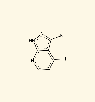 Brc1n[nH]c2nccc(I)c12